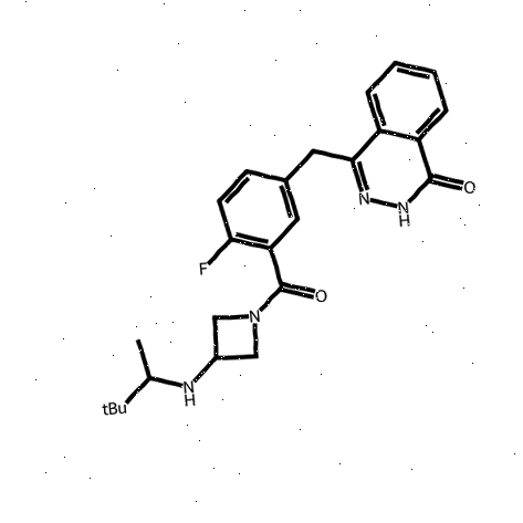 CC(NC1CN(C(=O)c2cc(Cc3n[nH]c(=O)c4ccccc34)ccc2F)C1)C(C)(C)C